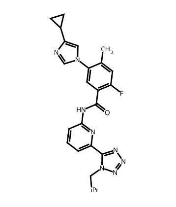 Cc1cc(F)c(C(=O)Nc2cccc(-c3nnnn3CC(C)C)n2)cc1-n1cnc(C2CC2)c1